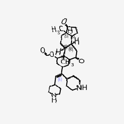 C[C@]12C(OC=O)CC(/C(=C/C3CCNCC3)C3CCNCC3)CC1C(=O)C[C@@H]1[C@H]2CC[C@]2(C)C(=O)CC[C@@H]12